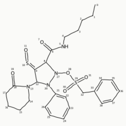 CCCCCNC(=O)C1C(=S=O)C(N2CCCCC2=O)N(c2ccccc2)N1OS(=O)(=O)Cc1ccccc1